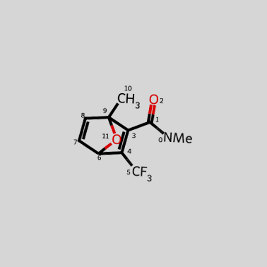 CNC(=O)C1=C(C(F)(F)F)C2C=CC1(C)O2